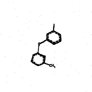 Cc1cccc(Sc2cccc(I)c2)c1